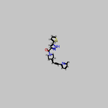 Cc1cccc(C#CC=C2CCN(C(=O)c3cc(-c4cccs4)[nH]n3)CC2)n1